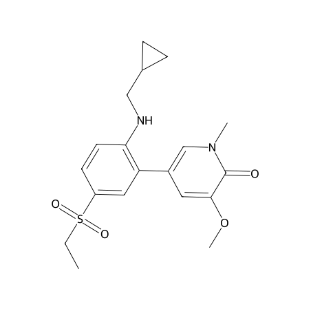 CCS(=O)(=O)c1ccc(NCC2CC2)c(-c2cc(OC)c(=O)n(C)c2)c1